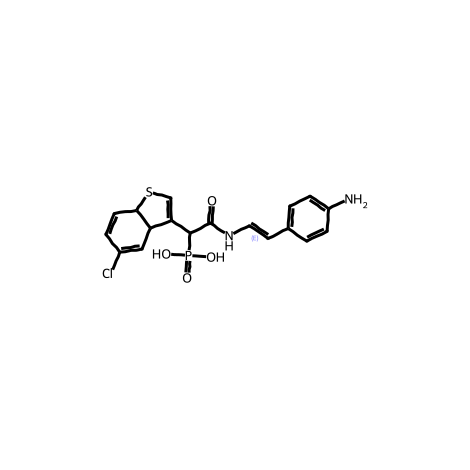 Nc1ccc(/C=C/NC(=O)C(C2=CSC3C=CC(Cl)=CC23)P(=O)(O)O)cc1